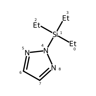 CC[Si](CC)(CC)n1nccn1